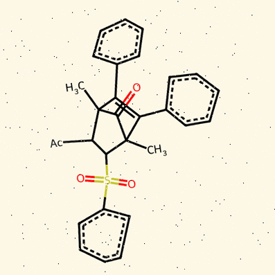 CC(=O)C1C(S(=O)(=O)c2ccccc2)C2(C)C(=O)C1(C)C(c1ccccc1)=C2c1ccccc1